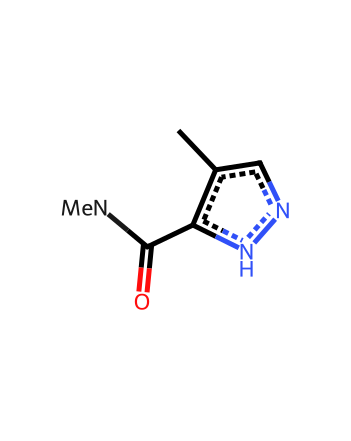 CNC(=O)c1[nH]ncc1C